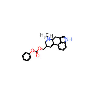 CN1CC(COC(=O)Oc2ccccc2)C=C2c3cccc4[nH]cc(c34)C[C@@H]21